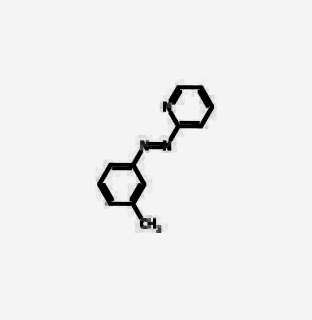 Cc1[c]ccc(N=Nc2ccccn2)c1